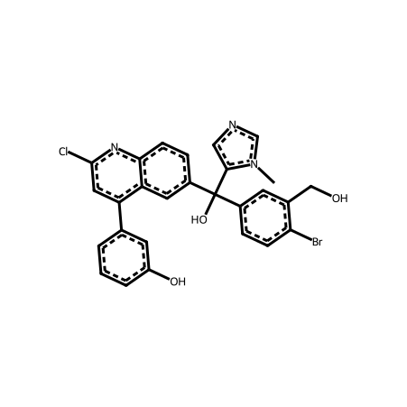 Cn1cncc1C(O)(c1ccc(Br)c(CO)c1)c1ccc2nc(Cl)cc(-c3cccc(O)c3)c2c1